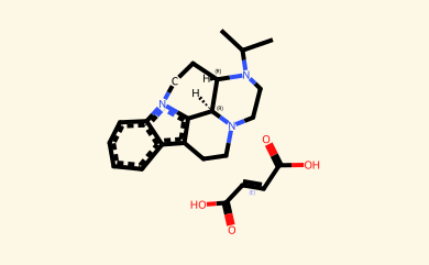 CC(C)N1CCN2CCc3c4n(c5ccccc35)CC[C@@H]1[C@H]42.O=C(O)/C=C/C(=O)O